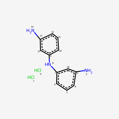 Cl.Cl.Nc1cccc(Nc2cccc(N)c2)c1